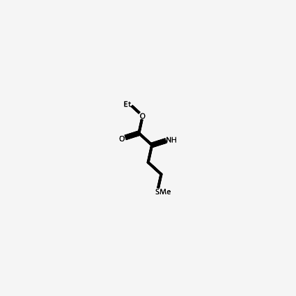 CCOC(=O)C(=N)CCSC